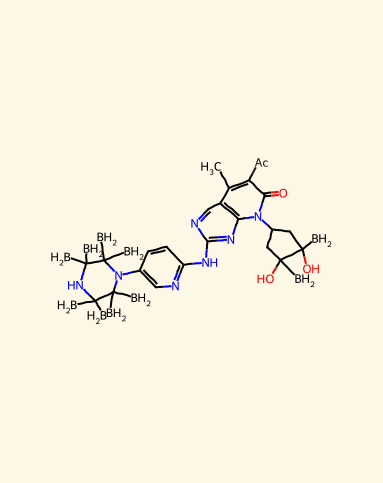 BC1(O)CC(n2c(=O)c(C(C)=O)c(C)c3cnc(Nc4ccc(N5C(B)(B)C(B)(B)NC(B)(B)C5(B)B)cn4)nc32)CC1(B)O